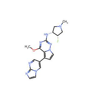 COc1nc(N[C@@H]2CN(C)C[C@@H]2F)nn2ccc(-c3cnc4nccn4c3)c12